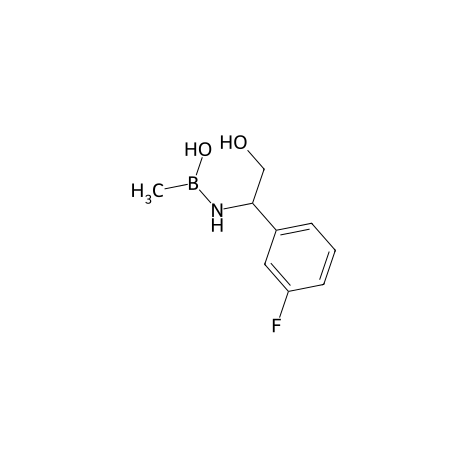 CB(O)NC(CO)c1cccc(F)c1